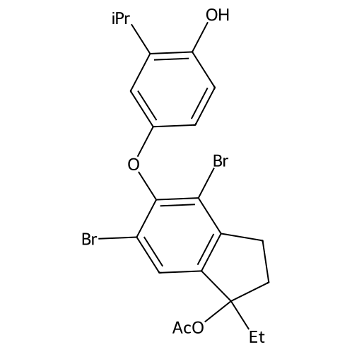 CCC1(OC(C)=O)CCc2c1cc(Br)c(Oc1ccc(O)c(C(C)C)c1)c2Br